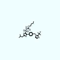 CCCCOC(=O)NS(=O)(=O)c1sc(CC(C)C)nc1-c1ccc(Cn2ccnc2C(C)(C)F)cc1